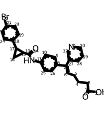 O=C(O)CCCC=C(c1ccc(NC(=O)C2CC2c2ccc(Br)cc2)cc1)c1cccnc1